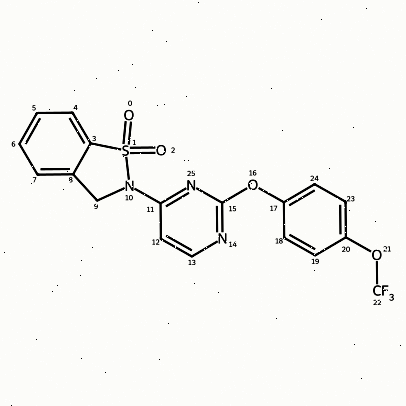 O=S1(=O)c2ccccc2CN1c1ccnc(Oc2ccc(OC(F)(F)F)cc2)n1